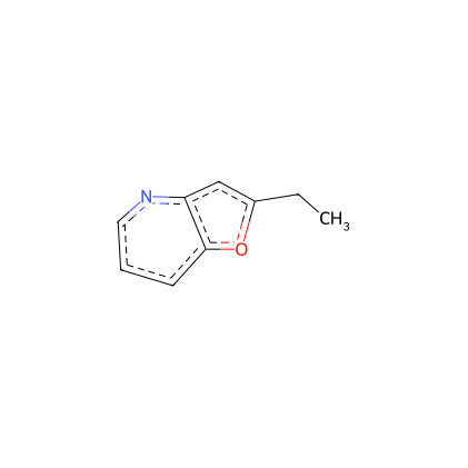 CCc1cc2ncccc2o1